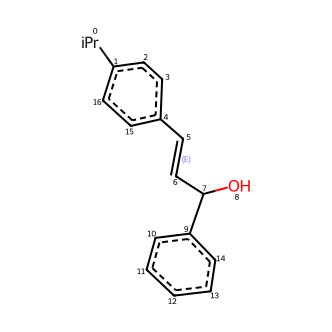 CC(C)c1ccc(/C=C/C(O)c2ccccc2)cc1